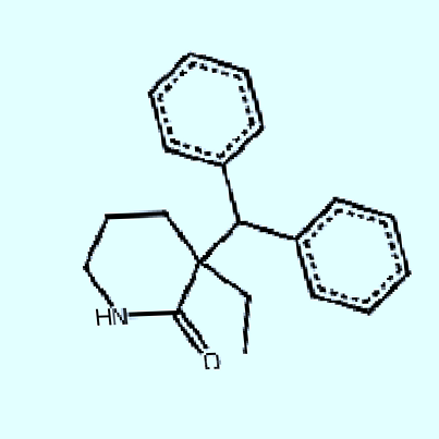 CCC1(C(c2ccccc2)c2ccccc2)CCCNC1=O